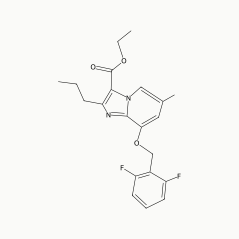 CCCc1nc2c(OCc3c(F)cccc3F)cc(C)cn2c1C(=O)OCC